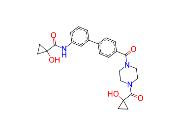 O=C(c1ccc(-c2cccc(NC(=O)C3(O)CC3)c2)cc1)N1CCN(C(=O)C2(O)CC2)CC1